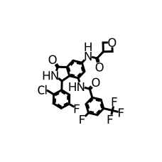 O=C(Nc1cc(NC(=O)C2COC2)cc2c1C(c1cc(F)ccc1Cl)NC2=O)c1cc(F)cc(C(F)(F)F)c1